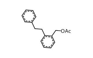 CC(=O)OCc1ccccc1CCc1ccccc1